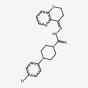 CCc1ccc(N2CCN(C(=S)N/N=C3/CCOc4cccnc43)CC2)cc1